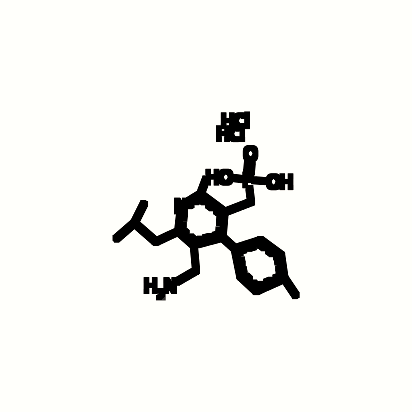 Cc1ccc(-c2c(CP(=O)(O)O)c(C)nc(CC(C)C)c2CN)cc1.Cl.Cl